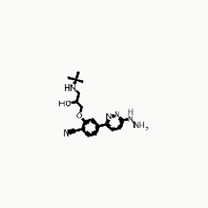 CC(C)(C)NCC(O)COc1cc(-c2ccc(NN)nn2)ccc1C#N